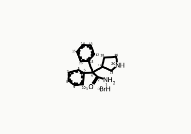 Br.NC(=O)C(c1ccccc1)(c1ccccc1)C1CCNC1